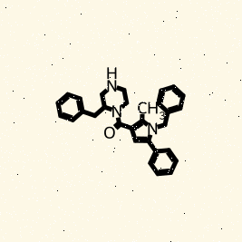 Cc1c(C(=O)N2CCNCC2Cc2ccccc2)cc(-c2ccccc2)n1Cc1ccccc1